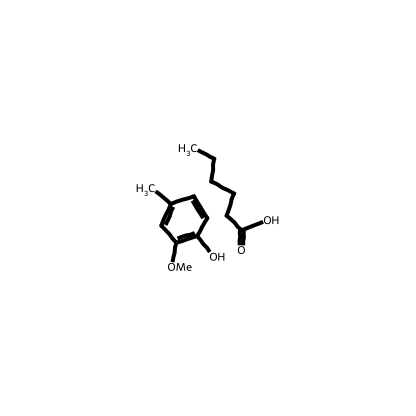 CCCCCC(=O)O.COc1cc(C)ccc1O